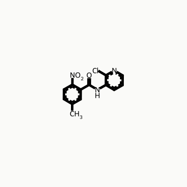 Cc1ccc([N+](=O)[O-])c(C(=O)Nc2cccnc2Cl)c1